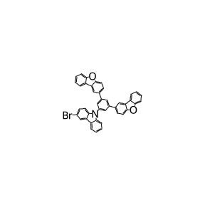 Brc1ccc2c(c1)c1ccccc1n2-c1cc(-c2ccc3oc4ccccc4c3c2)cc(-c2ccc3oc4ccccc4c3c2)c1